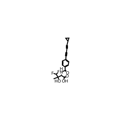 CC(O)(C(F)F)[C@H](NC(=O)c1ccc(C#CC#CC2CC2)cc1)C(=O)O